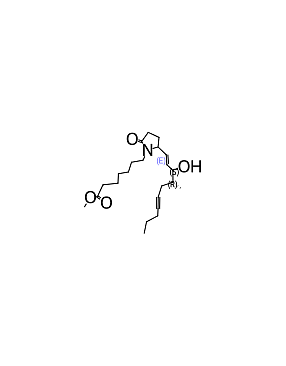 CCCC#CC[C@@H](C)[C@H](O)/C=C/C1CCC(=O)N1CCCCCCC(=O)OC